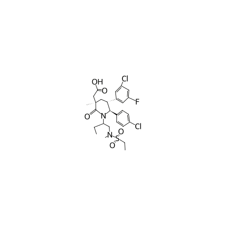 CCC(CN(C)S(=O)(=O)CC)N1C(=O)[C@@](C)(CC(=O)O)C[C@H](c2cc(F)cc(Cl)c2)[C@H]1c1ccc(Cl)cc1